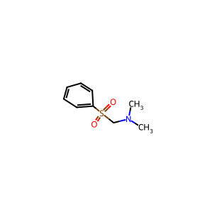 CN(C)CS(=O)(=O)c1ccccc1